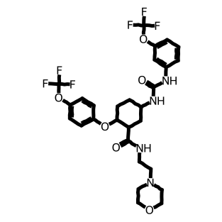 O=C(Nc1cccc(OC(F)(F)F)c1)NC1CCC(Oc2ccc(OC(F)(F)F)cc2)C(C(=O)NCCN2CCOCC2)C1